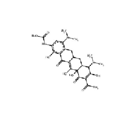 CC(C)COC(=O)Nc1cc(N(C)C)c2c(c1O)C(=O)C1=C(O)C3(O)C(=O)C(C(N)=O)=C(O)C(N(C)C)C3CC1C2